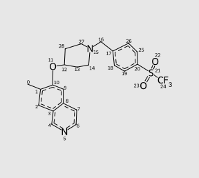 Cc1cc2cnccc2cc1OC1CCN(Cc2ccc(S(=O)(=O)C(F)(F)F)cc2)CC1